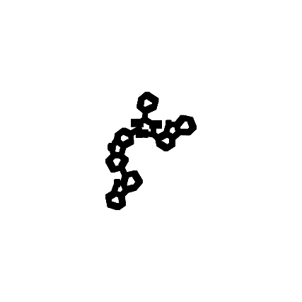 c1ccc(C2NC(c3ccc4oc5ccc(-c6cccc7c6sc6ccccc67)cc5c4c3)NC(c3cccc4c3sc3ccccc34)N2)cc1